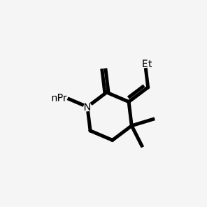 C=C1/C(=C\CC)C(C)(C)CCN1CCC